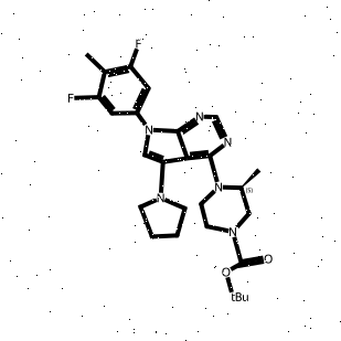 Cc1c(F)cc(-n2cc(N3CCCC3)c3c(N4CCN(C(=O)OC(C)(C)C)C[C@@H]4C)ncnc32)cc1F